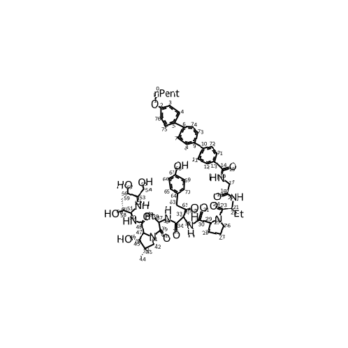 CCCCCOc1ccc(-c2ccc(-c3ccc(C(=O)NCC(=O)NC(CC)C(=O)N4CCCC4C(=O)NC(C(=O)NC(CC)C(=O)N4C[C@H](C)[C@H](O)C4C(=O)NC(NC(CO)CO)[C@@H](C)O)[C@H](O)Cc4ccc(O)cc4)cc3)cc2)cc1